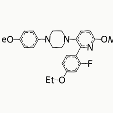 CCOc1ccc(-c2nc(OC)ccc2N2CCN(c3ccc(OC)cc3)CC2)c(F)c1